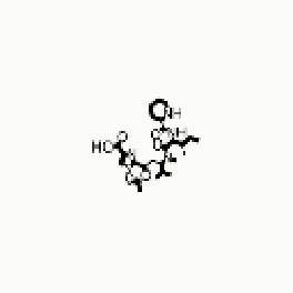 CC[C@H](C)[C@H](NC(=O)[C@H]1CCCCN1)C(=O)N(C)[C@H](C[C@@H](OC(C)=O)c1nc(C(=O)O)cs1)C(C)C